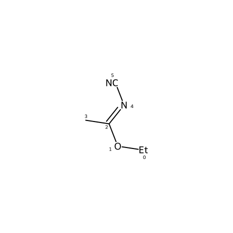 CCOC(C)=NC#N